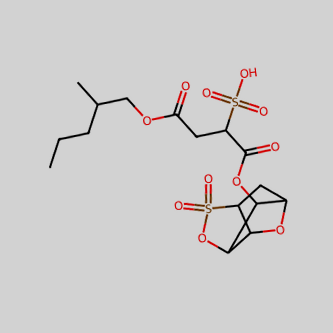 CCCC(C)COC(=O)CC(C(=O)OC1C2CC3C(O2)C1OS3(=O)=O)S(=O)(=O)O